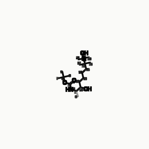 C[C@H](NC(=O)OC(C)(C)C)C(O)CCCCC(C)(C)[Si](C)(C)O